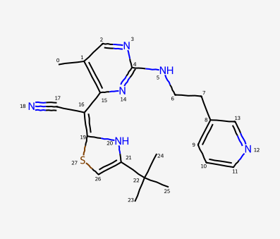 Cc1cnc(NCCc2cccnc2)nc1/C(C#N)=C1\NC(C(C)(C)C)=CS1